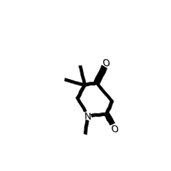 CN1CC(C)(C)C(=O)CC1=O